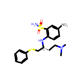 CN(C)CC[C@H](CSc1ccccc1)Nc1ccc([N+](=O)[O-])cc1S(N)(=O)=O